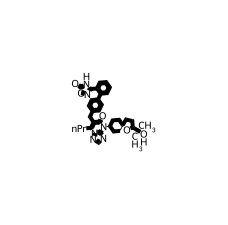 CCCc1c(Cc2ccc(-c3ccccc3-c3noc(=O)[nH]3)cc2)c(=O)n([C@H]2CC[C@@]3(CCC(C(C)(C)O)O3)CC2)c2ncnn12